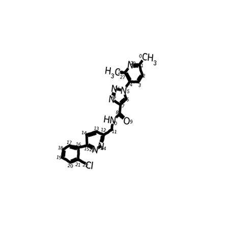 Cc1ccc(-n2cc(C(=O)NCc3ccc(-c4ccccc4Cl)nn3)nn2)c(C)n1